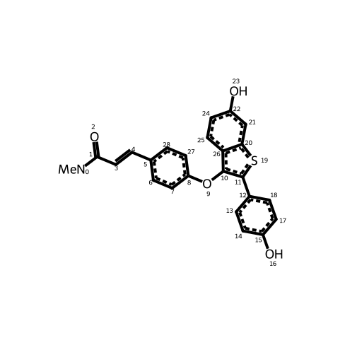 CNC(=O)C=Cc1ccc(Oc2c(-c3ccc(O)cc3)sc3cc(O)ccc23)cc1